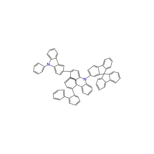 c1ccc(-c2ccccc2-c2ccccc2-c2ccccc2N(c2ccc(-c3ccc4c(c3)c3ccccc3n4-c3ccccc3)cc2)c2ccc3c(c2)C2(c4ccccc4-c4ccccc42)c2ccccc2-3)cc1